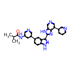 CC(C)C(=O)Nc1cncc(-c2ccc3[nH]nc(-c4nc5c(-c6cccnc6)cncc5[nH]4)c3c2)c1